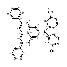 Oc1ccc2c3ccc(O)cc3n(C3=NC4=NC(c5ccccc5)=CC5=CC(c6ccccc6)=NC(=N3)N54)c2c1